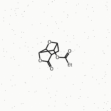 CCC(=O)OC1C2CC3C(=O)OC1C3O2